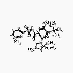 CC1CN(c2nc(C(C)(C)C)c(S)cc2C(=O)NS(=O)(=O)c2cccc(N)n2)C(C)(C)C1